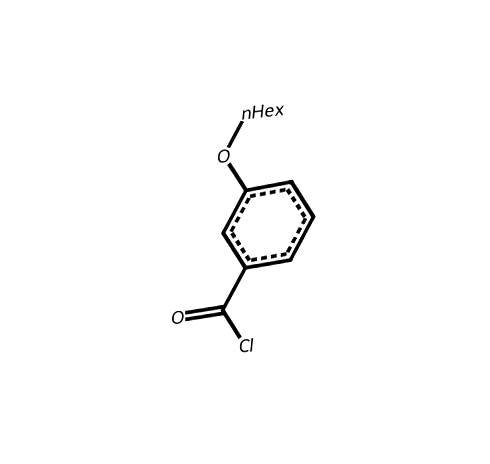 CCCCCCOc1cccc(C(=O)Cl)c1